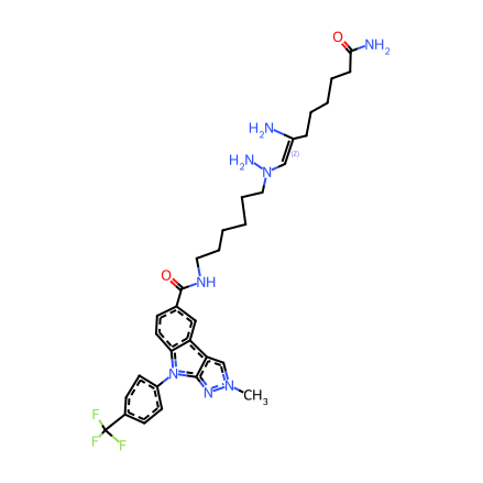 Cn1cc2c3cc(C(=O)NCCCCCCN(N)/C=C(\N)CCCCCC(N)=O)ccc3n(-c3ccc(C(F)(F)F)cc3)c2n1